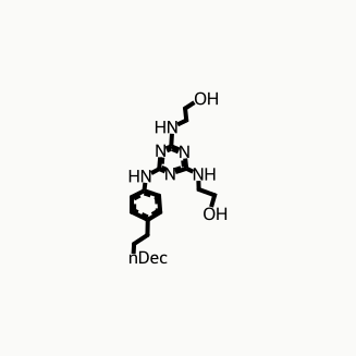 CCCCCCCCCCCCc1ccc(Nc2nc(NCCO)nc(NCCO)n2)cc1